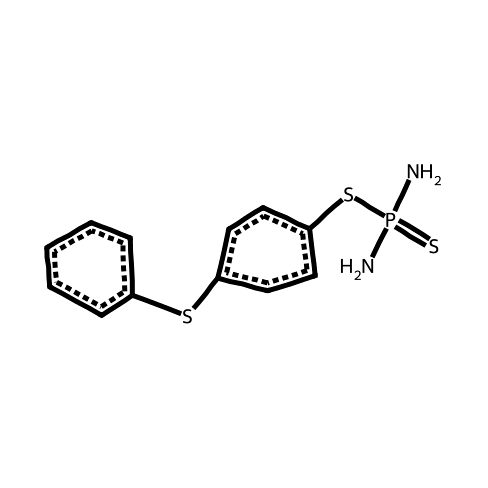 NP(N)(=S)Sc1ccc(Sc2ccccc2)cc1